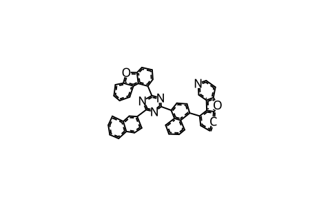 c1ccc2cc(-c3nc(-c4ccc(-c5cccc6oc7ccncc7c56)c5ccccc45)nc(-c4cccc5oc6ccccc6c45)n3)ccc2c1